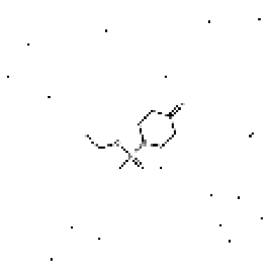 CCOP(C)(=O)N1CCC(=O)CC1